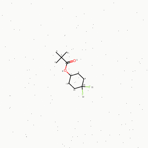 CC(C)(C)C(=O)OC1CCC(F)(F)CC1